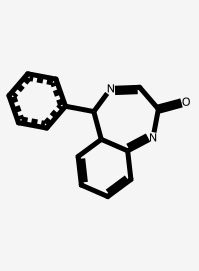 O=C1C=NC(c2ccccc2)C2C=CC=CC2=N1